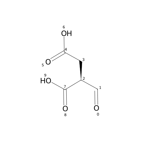 O=C[C@H](CC(=O)O)C(=O)O